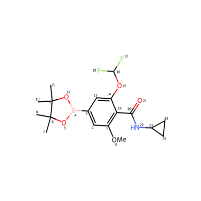 COc1cc(B2OC(C)(C)C(C)(C)O2)cc(OC(F)F)c1C(=O)NC1CC1